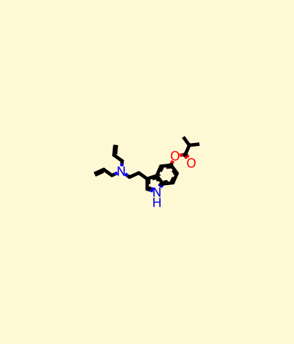 C=CCN(CC=C)CCc1c[nH]c2ccc(OC(=O)C(C)C)cc12